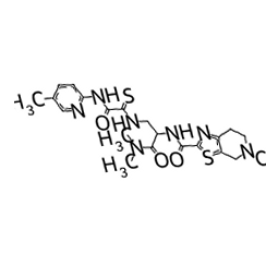 Cc1ccc(NC(=O)C(=S)NCC(NC(=O)c2nc3c(s2)CN(C)CC3)C(=O)N(C)C)nc1